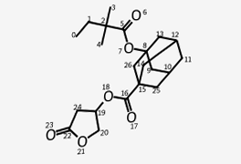 CCC(C)(C)C(=O)OC12CC3CC(C1)CC(C(=O)OC1COC(=O)C1)(C3)C2